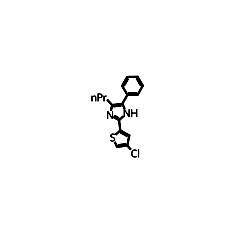 CCCc1nc(-c2cc(Cl)cs2)[nH]c1-c1ccccc1